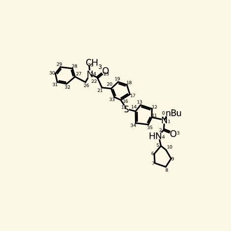 CCCCN(C(=O)NC1CCCCC1)c1ccc(Sc2cccc(CC(=O)N(C)Cc3ccccc3)c2)cc1